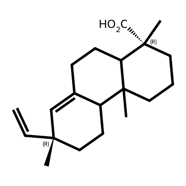 C=C[C@]1(C)C=C2CCC3C(C)(CCC[C@@]3(C)C(=O)O)C2CC1